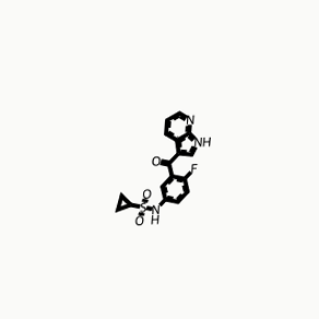 O=C(c1cc(NS(=O)(=O)C2CC2)ccc1F)c1c[nH]c2ncccc12